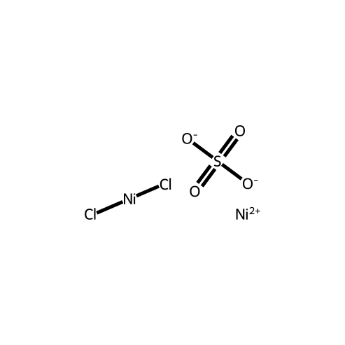 O=S(=O)([O-])[O-].[Cl][Ni][Cl].[Ni+2]